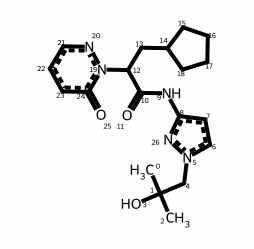 CC(C)(O)Cn1ccc(NC(=O)C(CC2CCCC2)n2ncccc2=O)n1